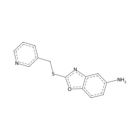 Nc1ccc2oc(SCc3cccnc3)nc2c1